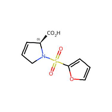 O=C(O)[C@@H]1C=CCN1S(=O)(=O)c1ccco1